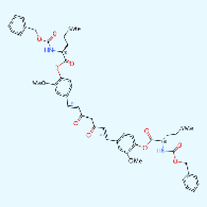 COc1cc(/C=C/C(=O)CC(=O)/C=C/c2ccc(OC(=O)[C@H](CCSC)NC(=O)OCc3ccccc3)c(OC)c2)ccc1OC(=O)[C@H](CCSC)NC(=O)OCc1ccccc1